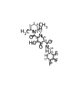 C=C1CC[C@H](C)[C@@H]2Cn3cc(C(=O)NCc4ccc(F)c(F)c4F)c(=O)c(O)c3C(=O)N12